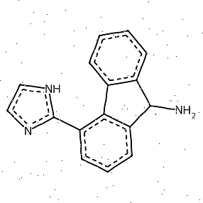 NC1c2ccccc2-c2c(-c3ncc[nH]3)cccc21